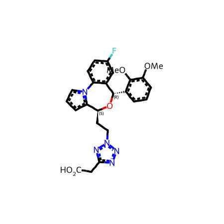 COc1cccc([C@@H]2O[C@@H](CCn3nnc(CC(=O)O)n3)c3cccn3-c3ccc(F)cc32)c1OC